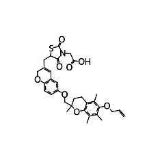 C=CCOc1c(C)c(C)c2c(c1C)CCC(C)(COc1ccc3c(c1)C=C(CC1SC(=O)N(CC(=O)O)C1=O)CO3)O2